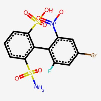 NS(=O)(=O)c1cccc(S(=O)(=O)O)c1-c1c(F)cc(Br)cc1[N+](=O)[O-]